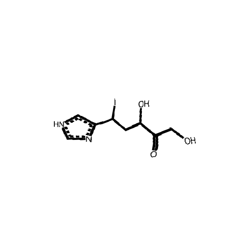 O=C(CO)C(O)CC(I)c1c[nH]cn1